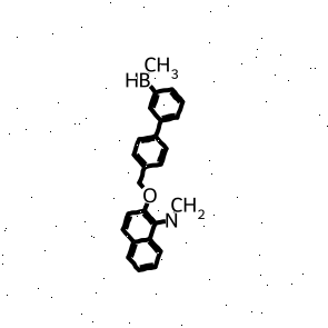 C=Nc1c(OCc2ccc(-c3cccc(BC)c3)cc2)ccc2ccccc12